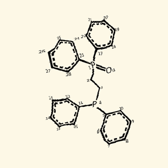 O=P(CCP(c1ccccc1)c1ccccc1)(c1ccccc1)c1ccccc1